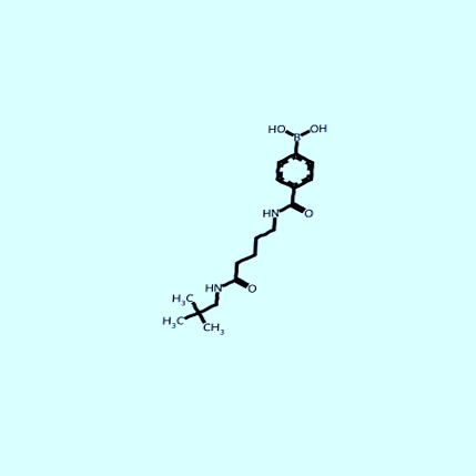 CC(C)(C)CNC(=O)CCCCNC(=O)c1ccc(B(O)O)cc1